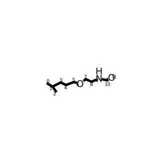 CC(C)CCCOCCNC=O